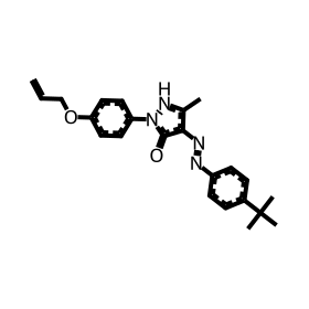 C=CCOc1ccc(-n2[nH]c(C)c(/N=N/c3ccc(C(C)(C)C)cc3)c2=O)cc1